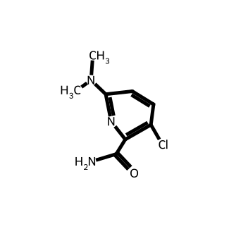 CN(C)c1ccc(Cl)c(C(N)=O)n1